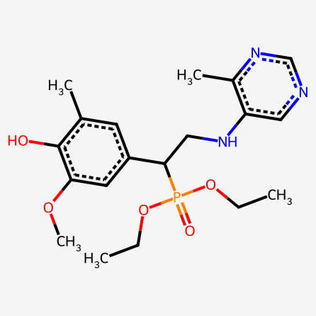 CCOP(=O)(OCC)C(CNc1cncnc1C)c1cc(C)c(O)c(OC)c1